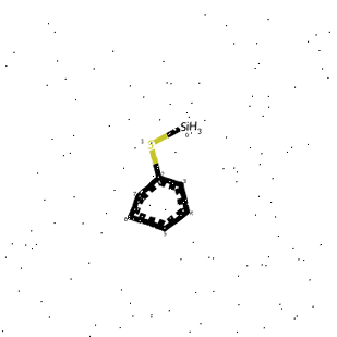 [SiH3]Sc1ccccc1